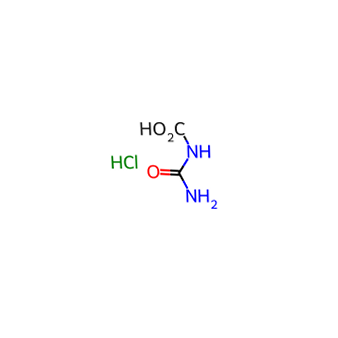 Cl.NC(=O)NC(=O)O